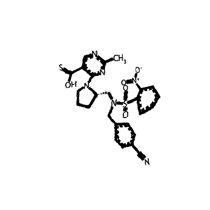 Cc1ncc(C(O)=S)c(N2CCC[C@H]2CN(Cc2ccc(C#N)cc2)S(=O)(=O)c2ccccc2[N+](=O)[O-])n1